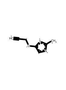 C#CCOc1cnc(C)s1